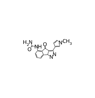 Cn1ccc(C2=C3C(=O)c4c(NC(N)=O)cccc4C3N=N2)c1